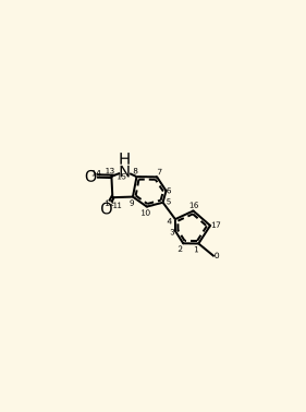 Cc1ccc(-c2ccc3c(c2)C(=O)C(=O)N3)cc1